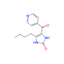 CCCCc1[nH]c(=O)[nH]c1C(=O)c1ccncc1